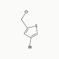 [O]Cc1cc(Br)cs1